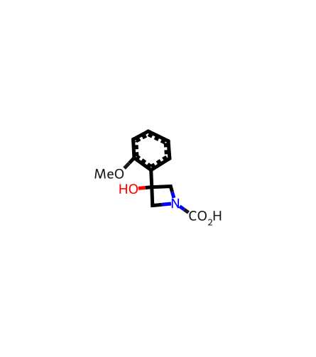 COc1ccccc1C1(O)CN(C(=O)O)C1